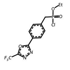 CCOP(=O)(Cl)Cc1ccc(-c2nnc(C(F)(F)F)o2)cc1